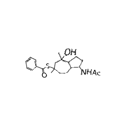 CC(=O)NC1CCC2C1CCC(C)(SC(=O)c1ccccc1)CC2(C)O